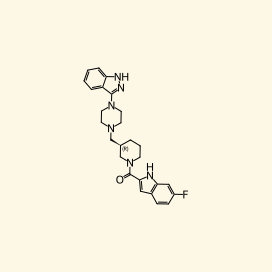 O=C(c1cc2ccc(F)cc2[nH]1)N1CCC[C@H](CN2CCN(c3n[nH]c4ccccc34)CC2)C1